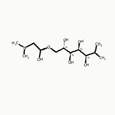 CC(C)[C@@H](O)[C@H](O)[C@@H](O)[C@@H](O)COC(O)CN(C)C